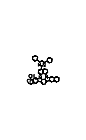 C=Cc1cc2c(cc1/C=C\C)c1ccc3c4cc5ccccc5cc4n(-c4ccccc4)c3c1n2-c1ccc(-c2nc(-c3ccccc3)cc(-c3ccccc3)n2)cc1